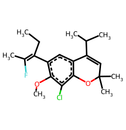 CCC(=C(C)F)c1cc2c(c(Cl)c1OC)OC(C)(C)C=C2C(C)C